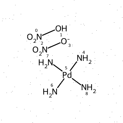 O=[N+]([O-])O.O=[N+]([O-])[O-].[NH2][Pd]([NH2])([NH2])[NH2]